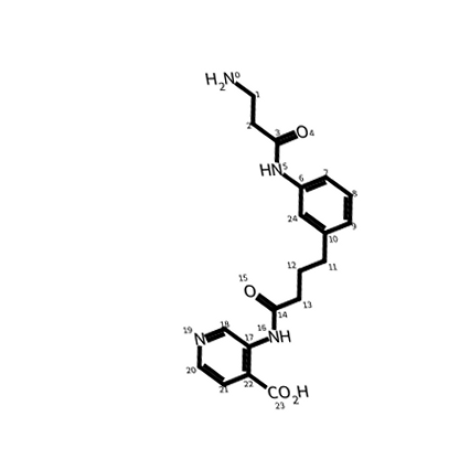 NCCC(=O)Nc1cccc(CCCC(=O)Nc2cnccc2C(=O)O)c1